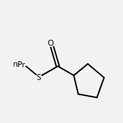 CCCSC(=O)C1CCCC1